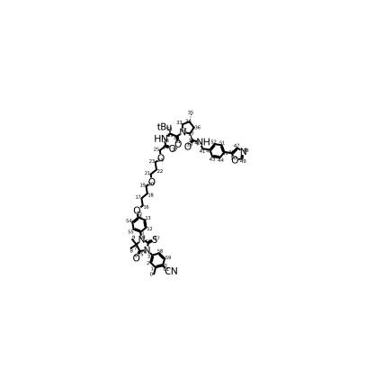 Cc1cc(N2C(=O)C(C)(C)N(c3ccc(OCCCCOCCCOCC(=O)N[C@H](C(=O)N4C[C@H](C)C[C@H]4C(=O)NCc4ccc(-c5cnco5)cc4)C(C)(C)C)cc3)C2=S)ccc1C#N